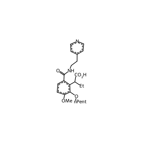 CCCCCOc1c(OC)ccc(C(=O)NCCc2ccncc2)c1C(CC)C(=O)O